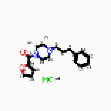 C[C@@H]1[C@H](C)N(CCCc2ccccc2)CCN1C(=O)c1ccco1.Cl